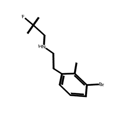 Cc1c(Br)cccc1CCNCC(C)(C)F